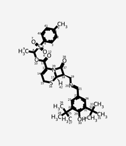 Cc1ccc(S(=O)(=O)C(C)OC(=O)C2=CCS[C@@H]3[C@H](C/N=C/c4cc(C(C)(C)C)c(O)c(C(C)(C)C)c4)C(=O)N23)cc1